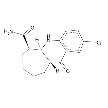 NC(=O)[C@@H]1CCCC[C@H]2C(=O)c3cc(Cl)ccc3N[C@H]12